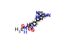 CC(=O)NC[C@@H]1OC(=O)N2c3ccc(-c4ccc([C@@]5(C#N)[C@@H]6CN(C#N)C[C@@H]65)nc4)cc3C[C@@H]12